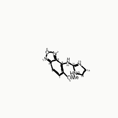 COc1ccc2nonc2c1NC1=NCCN1